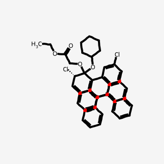 CCOC(=O)COC1(OC2CCCCC2)C(c2cc(Cl)ccc2P(c2ccccc2)c2ccccc2)=C(P(c2ccccc2)c2ccccc2)C=C[C@@H]1Cl